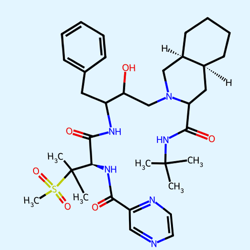 CC(C)(C)NC(=O)C1C[C@@H]2CCCC[C@@H]2CN1CC(O)C(Cc1ccccc1)NC(=O)[C@@H](NC(=O)c1cnccn1)C(C)(C)S(C)(=O)=O